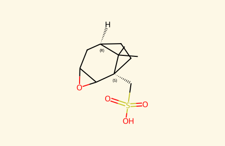 CC1(C)[C@@H]2CC[C@@]1(CS(=O)(=O)O)C1OC1C2